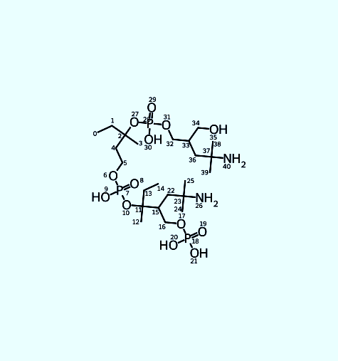 CCC(C)(CCOP(=O)(O)OC(C)(CC)C(COP(=O)(O)O)CC(C)(C)N)OP(=O)(O)OCC(CO)CC(C)(C)N